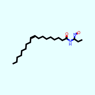 CCCCCCCC/C=C\CCCCCCCC(=O)NC(CC)N=O